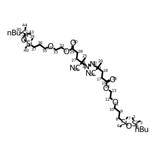 CCCC[Si](C)(C)O[Si](C)(C)CCCOCCOC(=O)CCC(C)(C#N)N=NC(C)(C#N)CCC(=O)OCCOCCC[Si](C)(C)O[Si](C)(C)CCCC